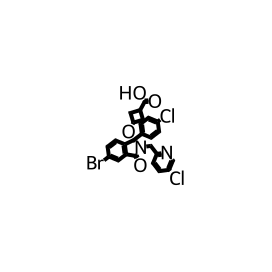 O=C(O)C1CC(OC2(c3ccc(Cl)cc3)c3ccc(Br)cc3C(=O)N2Cc2ccc(Cl)cn2)C1